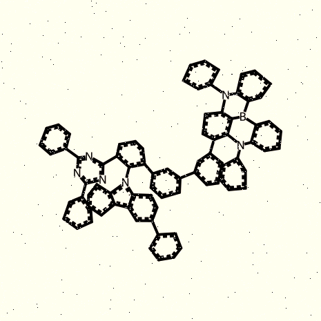 c1ccc(-c2ccc3c(c2)c2ccccc2n3-c2c(-c3cccc(-c4cccc(-c5ccc6c7c5N(c5ccccc5)c5ccccc5B7c5ccccc5N6c5ccccc5)c4)c3)cccc2-c2nc(-c3ccccc3)nc(-c3ccccc3)n2)cc1